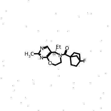 CC[C@H]1c2cnc(C)nc2OCCN1C(=O)C12CCC(F)(CC1)C2